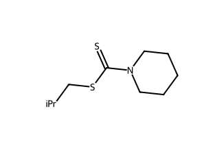 CC(C)CSC(=S)N1CCCCC1